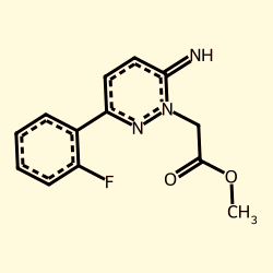 COC(=O)Cn1nc(-c2ccccc2F)ccc1=N